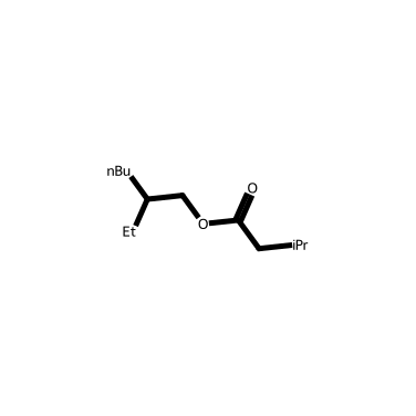 CCCCC(CC)COC(=O)CC(C)C